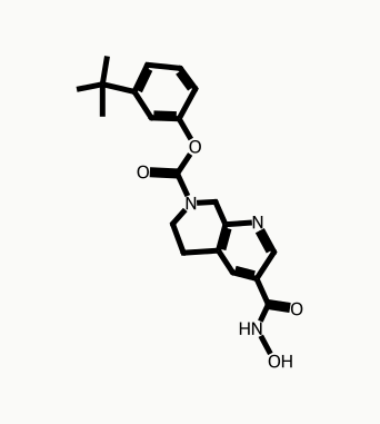 CC(C)(C)c1cccc(OC(=O)N2CCc3cc(C(=O)NO)cnc3C2)c1